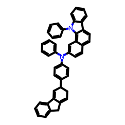 C1=C2Cc3ccccc3C2=CC(c2ccc(N(c3ccccc3)c3ccc4ccc5c6ccccc6n(-c6ccccc6)c5c4c3)cc2)C1